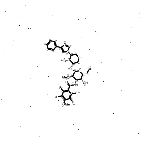 COc1c(F)c(F)c(C(=O)N[C@H]2[C@@H](O)[C@@H](CO)O[C@@H](S[C@@H]3COC[C@H](n4cc(-c5ccccc5)nn4)[C@H]3O)[C@@H]2OC)c(F)c1F